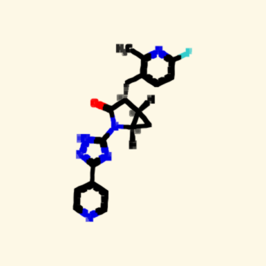 Cc1nc(F)ccc1C[C@H]1C(=O)N(c2nc(-c3ccncc3)n[nH]2)[C@H]2C[C@@H]12